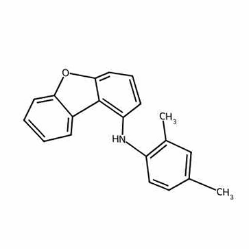 Cc1ccc(Nc2cccc3oc4ccccc4c23)c(C)c1